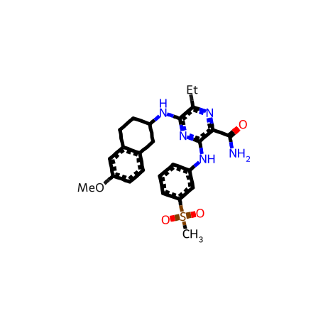 CCc1nc(C(N)=O)c(Nc2cccc(S(C)(=O)=O)c2)nc1NC1CCc2cc(OC)ccc2C1